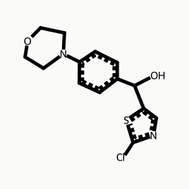 OC(c1ccc(N2CCOCC2)cc1)c1cnc(Cl)s1